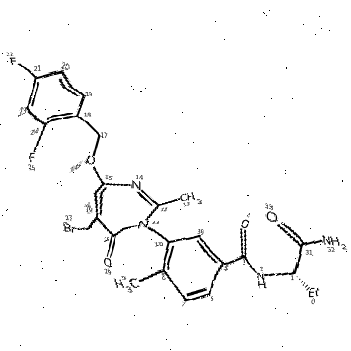 CC[C@H](NC(=O)c1ccc(C)c(-n2c(C)nc(OCc3ccc(F)cc3F)c(Br)c2=O)c1)C(N)=O